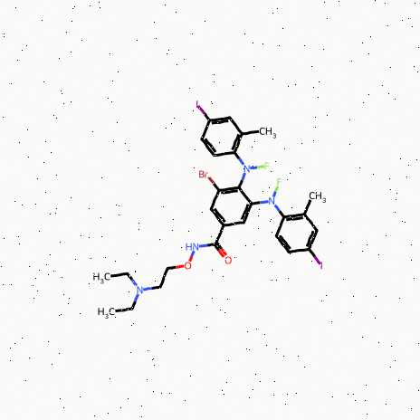 CCN(CC)CCONC(=O)c1cc(Br)c(N(F)c2ccc(I)cc2C)c(N(F)c2ccc(I)cc2C)c1